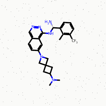 Cc1c([C@@H](N)Nc2nncc3ccc(N4CC5(CC(N(C)C)C5)C4)cc23)cccc1C(F)(F)F